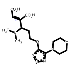 CN(C)C(CCOc1nsnc1N1CCOCC1)/C(=C/C(=O)O)C(=O)O